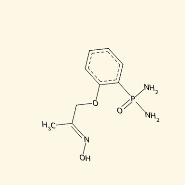 CC(COc1ccccc1P(N)(N)=O)=NO